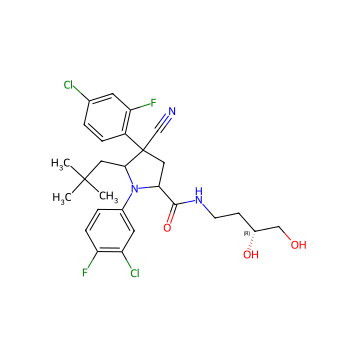 CC(C)(C)CC1N(c2ccc(F)c(Cl)c2)C(C(=O)NCC[C@@H](O)CO)CC1(C#N)c1ccc(Cl)cc1F